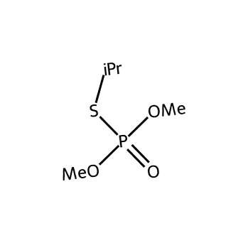 COP(=O)(OC)SC(C)C